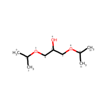 CC(C)OCC(O)COC(C)C